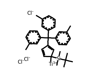 Cc1cccc(C(C2=C[C]([Ti+3])([Si](C)(C)C(C)(C)C)C=C2)(c2cccc(C)c2)c2cccc(C)c2)c1.[Cl-].[Cl-].[Cl-]